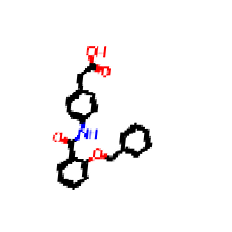 O=C(O)Cc1ccc(NC(=O)c2ccccc2OCc2ccccc2)cc1